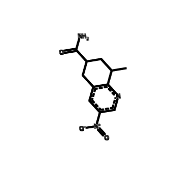 CC1CC(C(N)=O)Cc2cc([N+](=O)[O-])cnc21